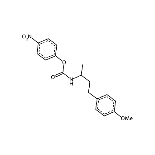 COc1ccc(CCC(C)NC(=O)Oc2ccc([N+](=O)[O-])cc2)cc1